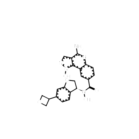 CN(C(=O)c1ccc2nc(N)c3cnn(C)c3c2c1)[C@@H]1COc2cc(C3COC3)ccc21